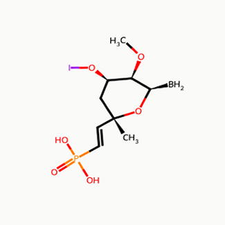 B[C@H]1O[C@](C)(/C=C/P(=O)(O)O)C[C@@H](OI)[C@H]1OC